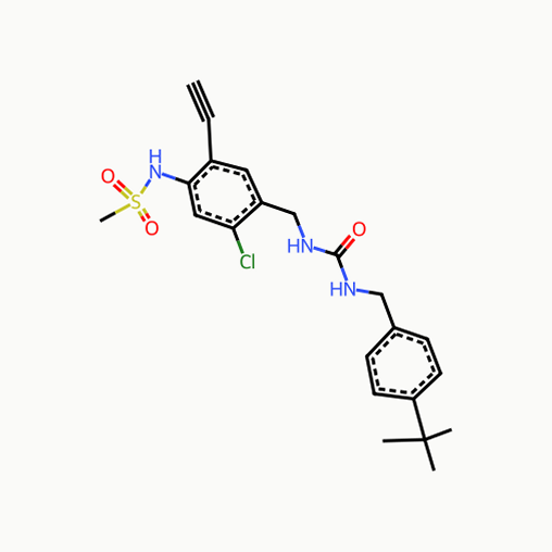 C#Cc1cc(CNC(=O)NCc2ccc(C(C)(C)C)cc2)c(Cl)cc1NS(C)(=O)=O